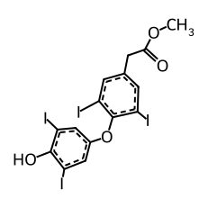 COC(=O)Cc1cc(I)c(Oc2cc(I)c(O)c(I)c2)c(I)c1